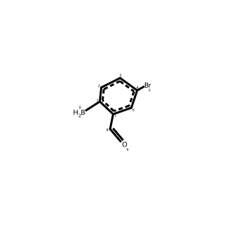 Bc1ccc(Br)cc1C=O